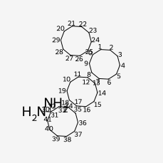 C1CCCCCCCCC1.C1CCCCCCCCC1.C1CCCCCCCCC1.NC1(N)CCCCCCCCC1